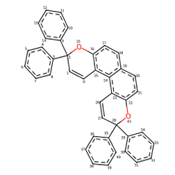 C1=CC(c2ccccc2)(c2ccccc2)Oc2ccc3ccc4c(c3c21)C=CC(c1ccccc1)(c1ccccc1)O4